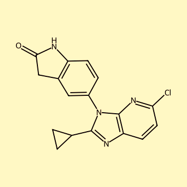 O=C1Cc2cc(-n3c(C4CC4)nc4ccc(Cl)nc43)ccc2N1